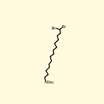 CCCCCCCCCCCCCCCCCCCCCCCCC(Br)Br